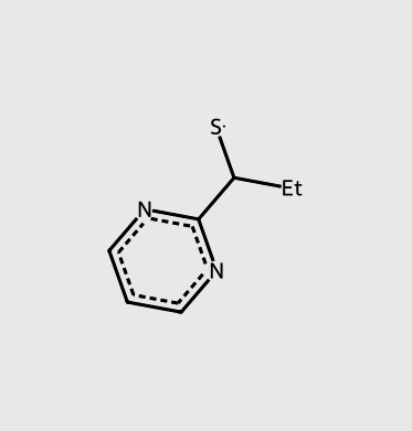 CCC([S])c1ncccn1